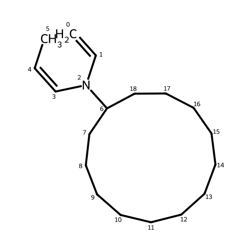 C=CN(/C=C\C)C1CCCCCCCCCCCC1